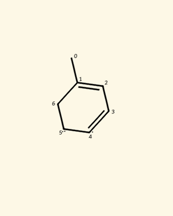 CC1=CC=[C][C]C1